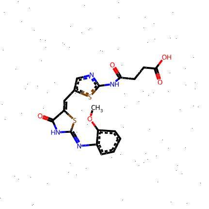 COc1ccccc1/N=C1/NC(=O)/C(=C/c2cnc(NC(=O)CCC(=O)O)s2)S1